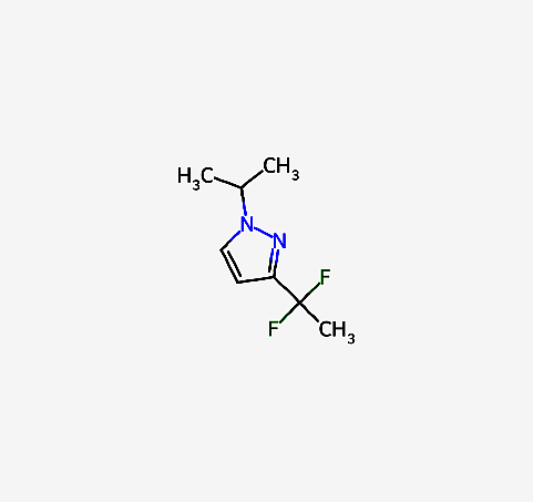 CC(C)n1ccc(C(C)(F)F)n1